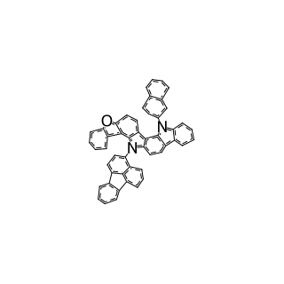 c1ccc2c(c1)-c1cccc3c(-n4c5ccc6c7ccccc7n(-c7ccc8ccccc8c7)c6c5c5ccc6oc7ccccc7c6c54)ccc-2c13